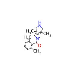 Cc1cccc(C)c1C(=O)N1C[C@]2(C)CNC[C@]2(C)C1